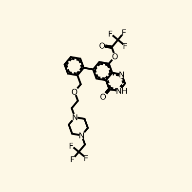 O=C(Oc1cc(-c2ccccc2COCCN2CCN(CC(F)(F)F)CC2)cc2c(=O)[nH]cnc12)C(F)(F)F